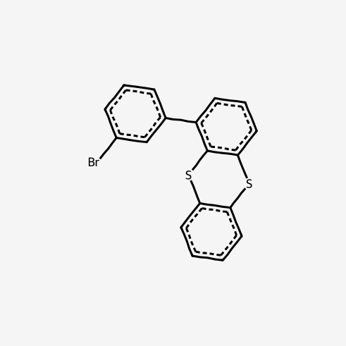 Brc1cccc(-c2cccc3c2Sc2ccccc2S3)c1